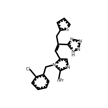 CCCc1ncc(C=C(Cc2cccs2)c2nnn[nH]2)n1Cc1ccccc1Cl